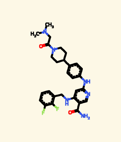 CN(C)CC(=O)N1CCC(c2ccc(Nc3cc(NCc4cccc(F)c4F)c(C(N)=O)cn3)cc2)CC1